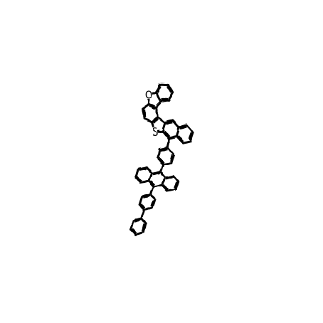 c1ccc(-c2ccc(-c3c4ccccc4c(-c4ccc(-c5c6ccccc6cc6c5sc5ccc7oc8ccccc8c7c56)cc4)c4ccccc34)cc2)cc1